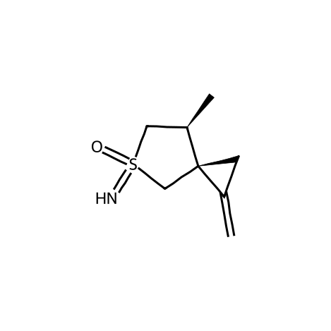 C=C1C[C@]12CS(=N)(=O)C[C@H]2C